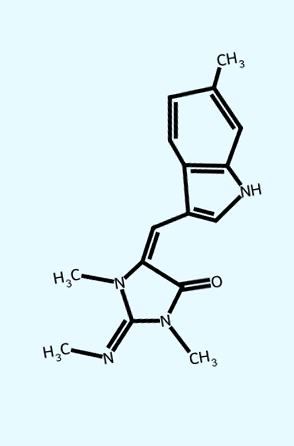 CN=C1N(C)C(=O)C(=Cc2c[nH]c3cc(C)ccc23)N1C